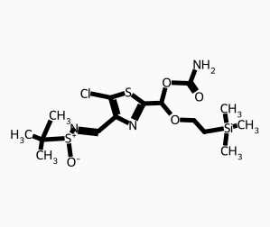 CC(C)(C)[S+]([O-])N=Cc1nc(C(OCC[Si](C)(C)C)OC(N)=O)sc1Cl